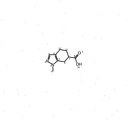 Cn1ncc2c1CC(C(=O)O)CC2